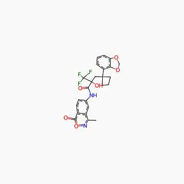 Cc1noc(=O)c2ccc(NC(=O)C(O)(CC3(c4cccc5c4OCO5)CCC3)C(F)(F)F)cc12